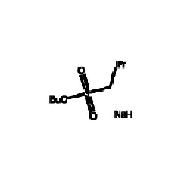 CC(C)COS(=O)(=O)CC(C)C.[NaH]